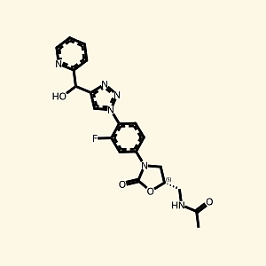 CC(=O)NC[C@H]1CN(c2ccc(-n3cc(C(O)c4ccccn4)nn3)c(F)c2)C(=O)O1